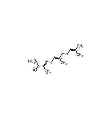 CC(C)=CCC/C(C)=C/C/C=C(\C)C(O)S(=O)(=O)O